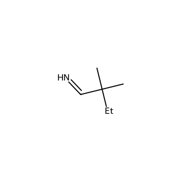 CCC(C)(C)C=N